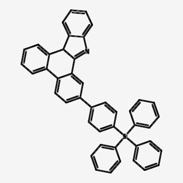 c1ccc([Si](c2ccccc2)(c2ccccc2)c2ccc(-c3ccc4c(c3)C3=Nc5ccccc5C3c3ccccc3-4)cc2)cc1